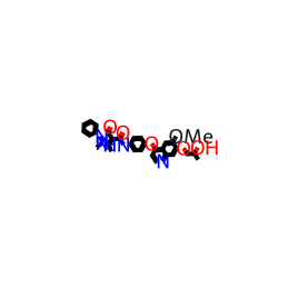 COc1cc2c(Oc3ccc(NC(=O)c4c(C)n(C)n(-c5ccccc5)c4=O)cc3)ccnc2cc1OCC(C)O